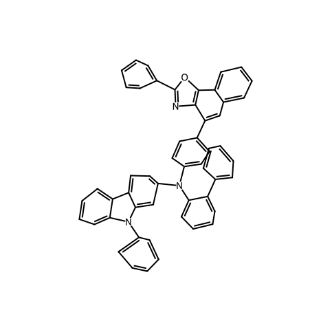 c1ccc(-c2nc3c(-c4ccc(N(c5ccc6c7ccccc7n(-c7ccccc7)c6c5)c5ccccc5-c5ccccc5)cc4)cc4ccccc4c3o2)cc1